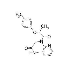 CC(Oc1ccc(C(F)(F)F)cc1)C(=O)N1CC(=O)Nc2cccnc21